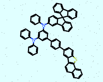 c1ccc(N(c2ccccc2)c2cc(-c3ccc(-c4ccc5sc6c7ccccc7ccc6c5c4)cc3)cc(N(c3ccccc3)c3ccc4c(c3)-c3ccccc3C43c4ccccc4-c4ccccc43)c2)cc1